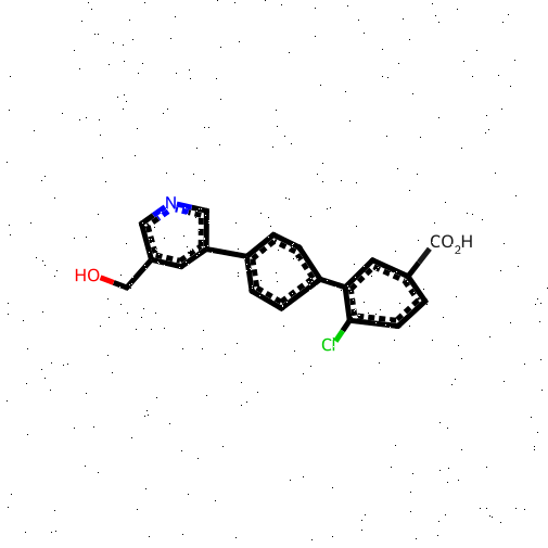 O=C(O)c1ccc(Cl)c(-c2ccc(-c3cncc(CO)c3)cc2)c1